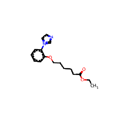 CCOC(=O)CCCCCOc1ccccc1-n1ccnc1